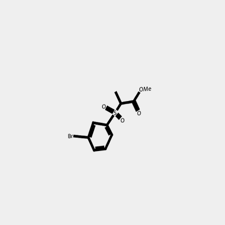 COC(=O)C(C)S(=O)(=O)c1cccc(Br)c1